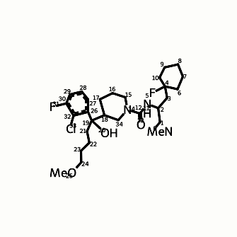 CNCC(CC1(F)CCCCC1)NC(=O)N1CCCC(C(O)(CCCCOC)c2cccc(F)c2Cl)C1